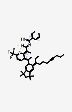 C/C=C\C(=C/C)C(=N)/N=C(N)/C(C)=c1\nc(C(F)(F)F)cc\c1=C(\C)C1C=C2C(=C/C1=C(/CC)CCCC#CCCC)C(C)(C)CC2(C)C